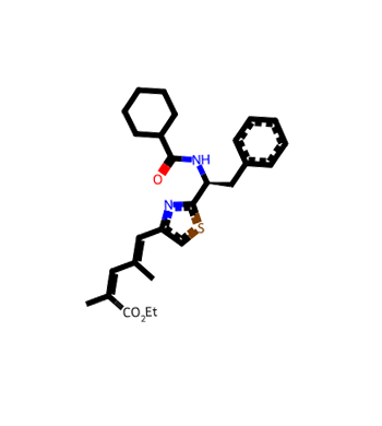 CCOC(=O)/C(C)=C\C(C)=C\c1csc([C@H](Cc2ccccc2)NC(=O)C2CCCCC2)n1